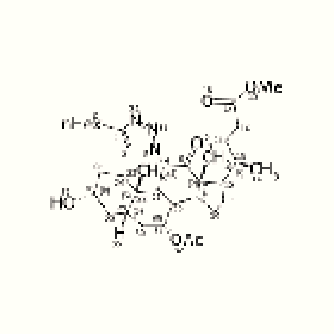 CCCCCCc1cn([C@@H]2C(=O)[C@@]3(C)C(CCC3[C@H](C)CCC(=O)OC)C3C2[C@@]2(C)CC[C@@H](O)C[C@H]2C[C@H]3OC(C)=O)nn1